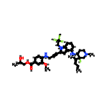 C=C/C=C(/C)[C@@]1(F)CN(C)CC[C@@H]1Nc1cccc2c1cc(C#CCNc1ccc(C(=O)OCC(C)O)cc1OC)n2CC(F)(F)F